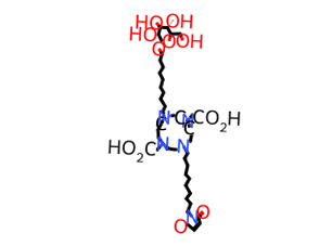 O=C(O)CN1CCCN(CCCCCCCCCCN2C(=O)C=CC2=O)CCN(CC(=O)O)CCCN(CCCCCCCCCCO[C@@H]2OC(CO)[C@@H](O)C(O)[C@@H]2O)CC1